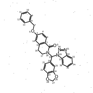 O=C1c2ccc(OCc3ccccc3)cc2CCN1C(c1ccc2c(c1)OCO2)n1nnc2ccccc21